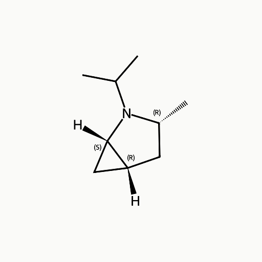 CC(C)N1[C@H](C)C[C@@H]2C[C@@H]21